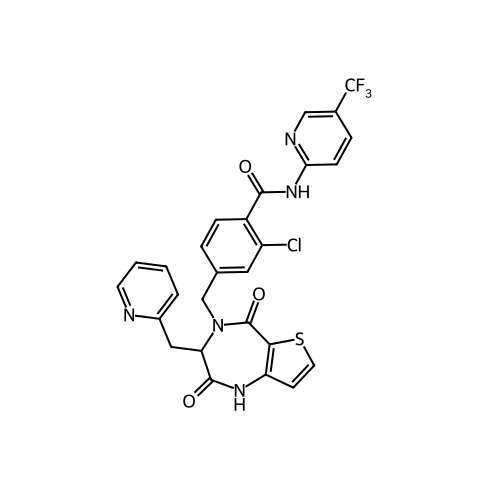 O=C(Nc1ccc(C(F)(F)F)cn1)c1ccc(CN2C(=O)c3sccc3NC(=O)C2Cc2ccccn2)cc1Cl